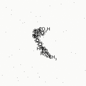 CN1CCN(C(=O)N2CCC[C@H]2c2ncc(-c3ccc(-c4ccc(-c5cnc([C@@H]6CCCN6C(=O)[C@H](NC(=O)O)c6ccccc6)[nH]5)cc4)cc3)[nH]2)CC1